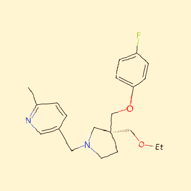 CCOC[C@]1(COc2ccc(F)cc2)CCN(Cc2ccc(C)nc2)C1